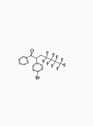 O=C(c1ccccc1)C(CC(F)(F)C(F)(F)C(F)(F)C(F)(F)F)c1ccc(Br)cc1